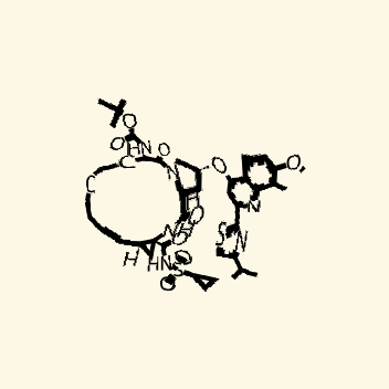 COc1ccc2c(O[C@@H]3C[C@H]4C(=O)N[C@]5(C(=O)NS(=O)(=O)C6CC6)C[C@H]5/C=C\CCCCC[C@@H](NC(=O)OC(C)(C)C)C(=O)N4C3)cc(-c3nc(C(C)C)cs3)nc2c1C